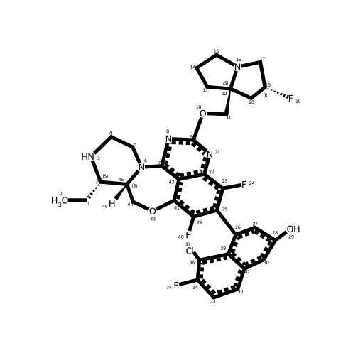 CC[C@@H]1NCCN2c3nc(OC[C@@]45CCCN4C[C@H](F)C5)nc4c(F)c(-c5cc(O)cc6ccc(F)c(Cl)c56)c(F)c(c34)OC[C@H]12